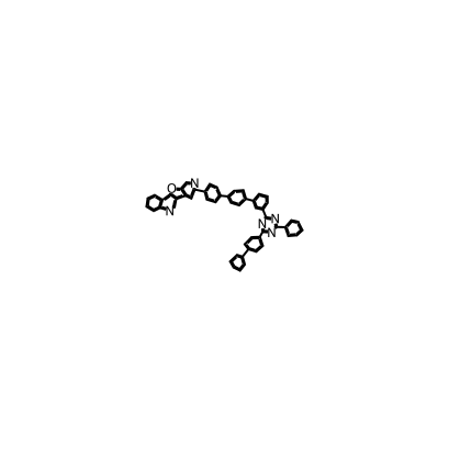 c1ccc(-c2ccc(-c3nc(-c4ccccc4)nc(-c4cccc(-c5ccc(-c6ccc(-c7cc8c(cn7)oc7c9ccccc9ncc87)cc6)cc5)c4)n3)cc2)cc1